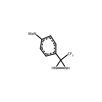 CNc1ccc(C2(C(F)(F)F)NN2)cc1